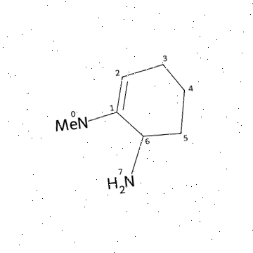 CNC1=CCCCC1N